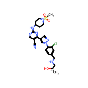 C[C@H](O)CNCc1ccc(-n2cc(-c3nc(NC4CCN(S(C)(=O)=O)CC4)ncc3C#N)cn2)c(Cl)c1